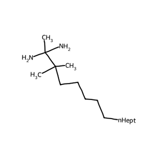 CCCCCCCCCCCCC(C)(C)C(C)(N)N